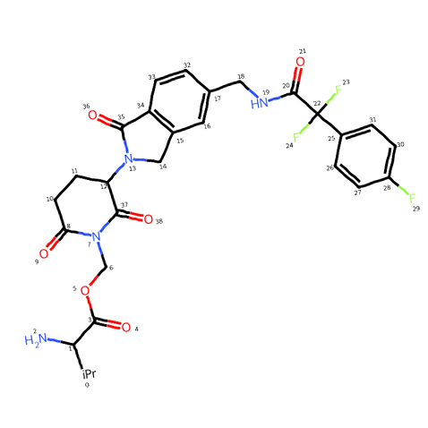 CC(C)C(N)C(=O)OCN1C(=O)CCC(N2Cc3cc(CNC(=O)C(F)(F)c4ccc(F)cc4)ccc3C2=O)C1=O